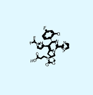 O=C(O)CCN1C(=O)OC[C@@]12CC1=C(c3ccn(C(F)F)n3)[C@H](c3ccc(F)cc3Cl)N=C(c3nccs3)N1C2